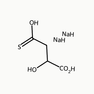 O=C(O)C(O)CC(O)=S.[NaH].[NaH]